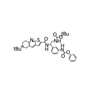 CC(C)(C)OC(=O)NCC(NC(=O)c1cc2cc3c(nc2s1)CC[C@@H](C(C)(C)C)C3)c1cccc(NC(=O)Oc2ccccc2)c1